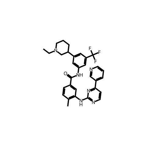 CCN1CCCC(c2cc(NC(=O)c3ccc(C)c(Nc4nccc(-c5cccnc5)n4)c3)cc(C(F)(F)F)c2)C1